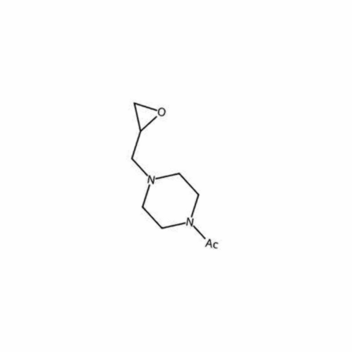 CC(=O)N1CCN(CC2CO2)CC1